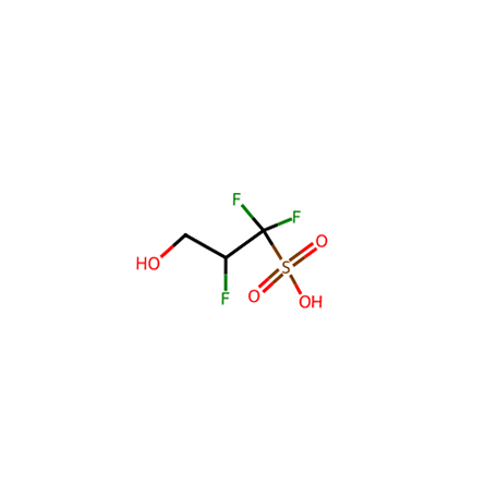 O=S(=O)(O)C(F)(F)C(F)CO